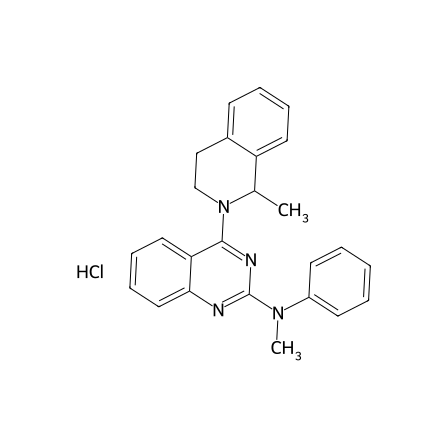 CC1c2ccccc2CCN1c1nc(N(C)c2ccccc2)nc2ccccc12.Cl